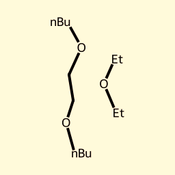 CCCCOCCOCCCC.CCOCC